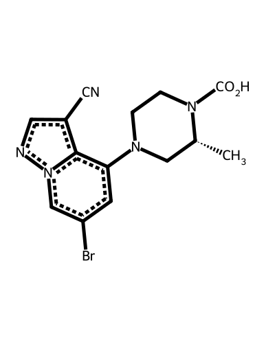 C[C@@H]1CN(c2cc(Br)cn3ncc(C#N)c23)CCN1C(=O)O